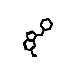 CCCCc1ncc2ncn(CC3CCCCC3)c2n1